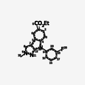 CCOC(=O)c1ccc2c(c1)c1cn(C)nc1n2-c1cccc(F)c1